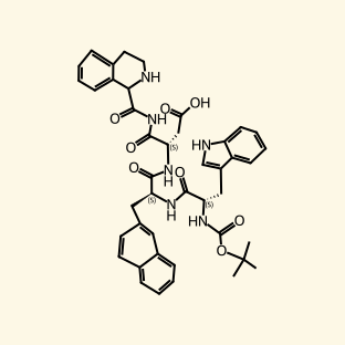 CC(C)(C)OC(=O)N[C@@H](Cc1c[nH]c2ccccc12)C(=O)N[C@@H](Cc1ccc2ccccc2c1)C(=O)N[C@@H](CC(=O)O)C(=O)NC(=O)C1NCCc2ccccc21